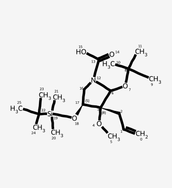 C=CC[C@]1(OC)C(OC(C)(C)C)N(C(=O)O)C[C@@H]1O[Si](C)(C)C(C)(C)C